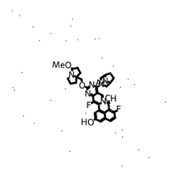 C#Cc1c(F)ccc2cc(O)cc(-c3ncc4c(N5CC6CCC(C5)N6C(C)=O)nc(OCC56CCCN5C(OC)CC6)nc4c3F)c12